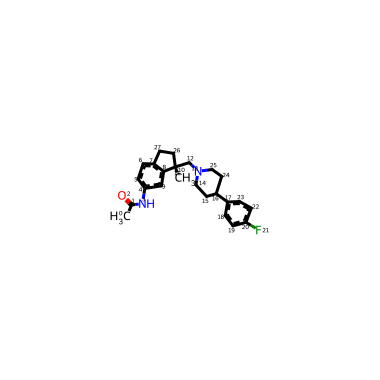 CC(=O)Nc1ccc2c(c1)C(C)(CN1CCC(c3ccc(F)cc3)CC1)CC2